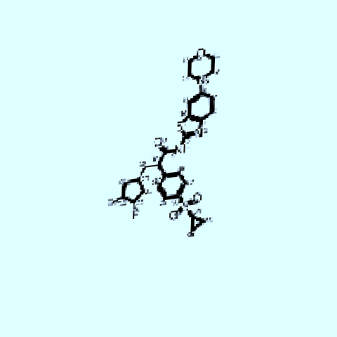 O=C(Nc1nc2ccc(N3CCOCC3)cc2s1)[C@H](C[C@H]1C[C@@H](F)[C@@H](F)C1)c1ccc(S(=O)(=O)C2CC2)cc1